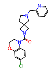 O=C(N1CC2(CCN(Cc3ccccn3)C2)C1)N1CCOc2cc(Cl)ccc21